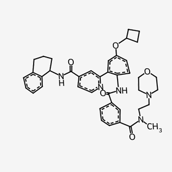 CN(CCN1CCOCC1)C(=O)c1cccc(C(=O)Nc2ccc(OC3CCC3)cc2-c2cc(C(=O)NC3CCCc4ccccc43)ccn2)c1